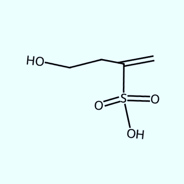 C=C(CCO)S(=O)(=O)O